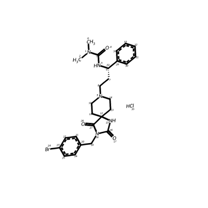 CN(C)C(=O)N[C@@H](CCN1CCC2(CC1)NC(=O)N(Cc1ccc(Br)cc1)C2=O)c1ccccc1.Cl